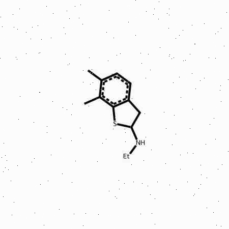 CCNC1Cc2ccc(C)c(C)c2S1